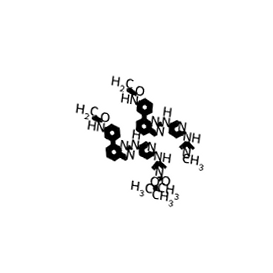 C=CC(=O)Nc1cccc(-c2cccc3cnc(Nc4ccc(NC5CN(C(=O)OC(C)(C)C)C5)nc4)nc23)c1.C=CC(=O)Nc1cccc(-c2cccc3cnc(Nc4ccc(NC5CN(C)C5)nc4)nc23)c1